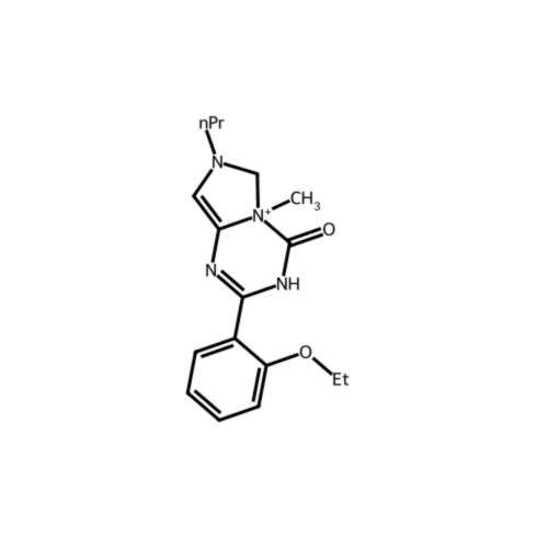 CCCN1C=C2N=C(c3ccccc3OCC)NC(=O)[N+]2(C)C1